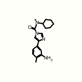 Cc1ccc(-c2cn(C(=O)N(C)C3CCCCC3)cn2)cc1N